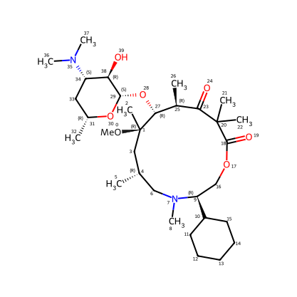 CO[C@]1(C)C[C@@H](C)CN(C)[C@H](C2CCCCC2)COC(=O)C(C)(C)C(=O)[C@H](C)[C@H]1O[C@@H]1O[C@H](C)C[C@H](N(C)C)[C@H]1O